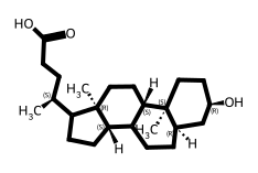 C[C@@H](CCC(=O)O)C1CC[C@H]2C3CC[C@@H]4C[C@H](O)CC[C@]4(C)[C@H]3CC[C@]12C